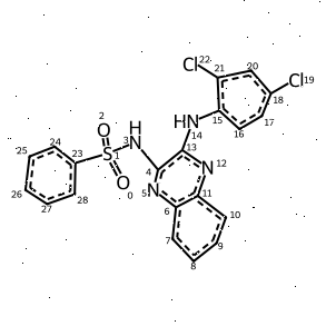 O=S(=O)(Nc1nc2ccccc2nc1Nc1ccc(Cl)cc1Cl)c1ccccc1